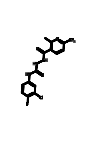 Cc1nc(C(F)(F)F)ccc1C(=O)NNC(=S)Nc1ccc(F)c(Cl)c1